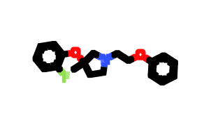 CC1(Oc2ccccc2F)CCN(CCOc2ccccc2)C1